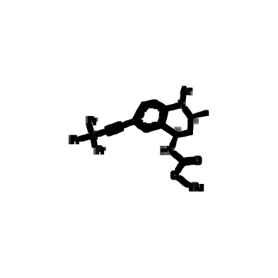 CC(=O)N1c2ccc(C#C[Si](C(C)C)(C(C)C)C(C)C)cc2[C@H](NC(=O)OC(C)(C)C)C[C@@H]1C